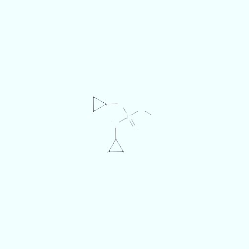 O=P(OCl)(OC1CC1)OC1CC1